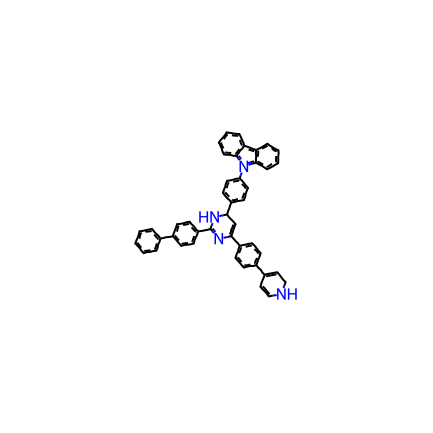 C1=CC(c2ccc(C3=CC(c4ccc(-n5c6ccccc6c6ccccc65)cc4)NC(c4ccc(-c5ccccc5)cc4)=N3)cc2)=CCN1